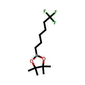 CC1(C)OB(CCCCCC(F)(F)F)OC1(C)C